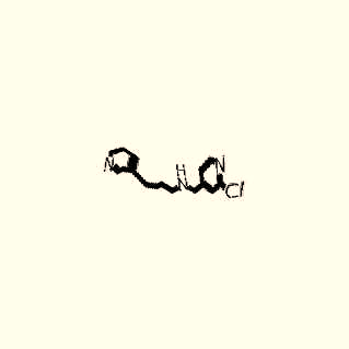 Clc1cc(CNCCCc2cccnc2)ccn1